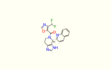 O=C(c1ocnc1C(F)F)N1CCc2nc[nH]c2[C@H]1c1ccc2ccccc2n1